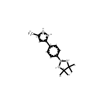 CC1(C)OB(c2ccc(-c3cc(C(F)(F)F)on3)cc2)OC1(C)C